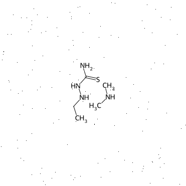 CCNNC(N)=S.CNC